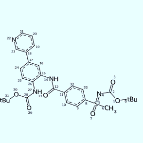 CC(C)(C)OC(=O)N=S(C)(=O)c1ccc(C(=O)Nc2cc(-c3cccnc3)ccc2NC(=O)OC(C)(C)C)cc1